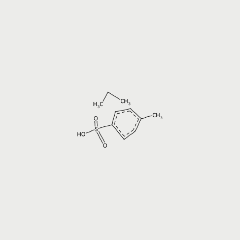 CCC.Cc1ccc(S(=O)(=O)O)cc1